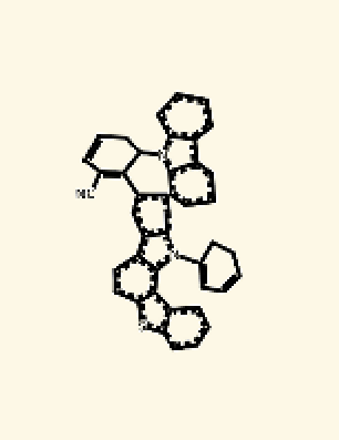 N#CC1=C(c2ccc3c(c2)c2ccc4sc5ccccc5c4c2n3C2=CC=CCC2)C(n2c3ccccc3c3ccccc32)CC=C1